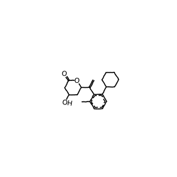 C=C(c1c(C)cccc1C1CCCCC1)C1CC(O)CC(=O)O1